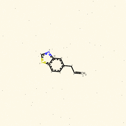 C=CCc1ccc2s[c]nc2c1